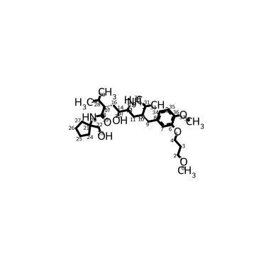 COCCCOc1cc(C[C@@H](C[C@H](N)[C@@H](O)C[C@H](C(=O)NC2(CO)CCCC2)C(C)C)C(C)C)ccc1OC